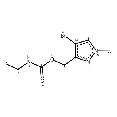 CCNC(=O)OCc1nn(C)cc1Br